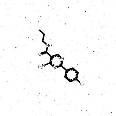 CCCNC(=O)c1cnc(-c2ccc(Cl)cc2)nc1N